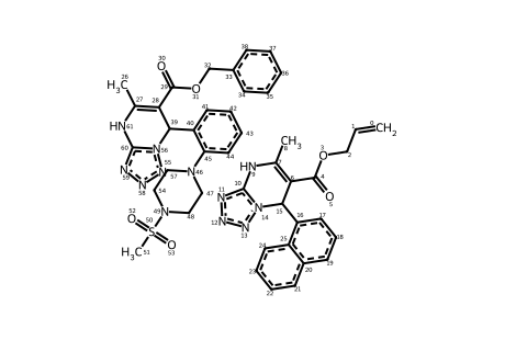 C=CCOC(=O)C1=C(C)Nc2nnnn2C1c1cccc2ccccc12.CC1=C(C(=O)OCc2ccccc2)C(c2ccccc2N2CCN(S(C)(=O)=O)CC2)n2nnnc2N1